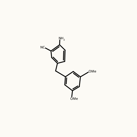 COc1cc(Cc2ccc(N)c(C#N)c2)cc(OC)c1